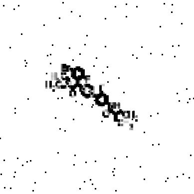 CCC(CC)C(=O)Nc1ccc(N2CCN(C(C(=O)N(CC)CC)c3cc(Br)ccc3F)CC2)c(F)c1